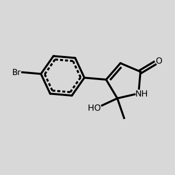 CC1(O)NC(=O)C=C1c1ccc(Br)cc1